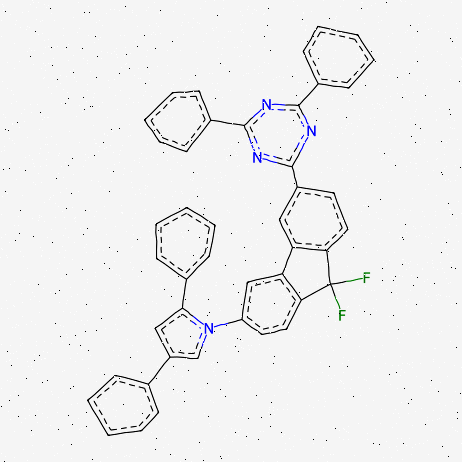 FC1(F)c2ccc(-c3nc(-c4ccccc4)nc(-c4ccccc4)n3)cc2-c2cc(-n3cc(-c4ccccc4)cc3-c3ccccc3)ccc21